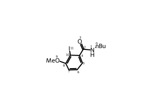 CCCCNC(=O)c1cccc(OC)c1I